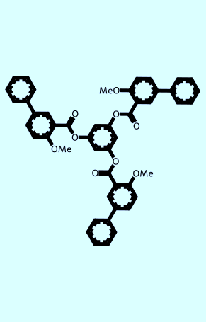 COc1ccc(-c2ccccc2)cc1C(=O)Oc1cc(OC(=O)c2cc(-c3ccccc3)ccc2OC)cc(OC(=O)c2cc(-c3ccccc3)ccc2OC)c1